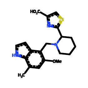 COc1cc(C)c2[nH]ccc2c1CN1CCCCC1c1nc(C(=O)O)cs1